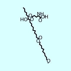 CCCCCC(OC(=O)CC[C@H](N)C(=O)O)C(O)CCCCCCCCCCC(=O)OCCCCCCCCCCOC